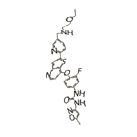 CCOCCNCc1ccc(-c2cc3nccc(Oc4ccc(NC(=O)Nc5cc(C)on5)cc4F)c3s2)nc1